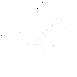 N#Cc1cnc2cc(OC3CCOC3)c(CC(=O)C=C3CCNCC3)cc2c1Nc1ncc(NC(=O)c2ccccc2)cn1